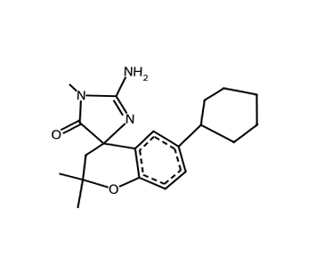 CN1C(=O)C2(CC(C)(C)Oc3ccc(C4CCCCC4)cc32)N=C1N